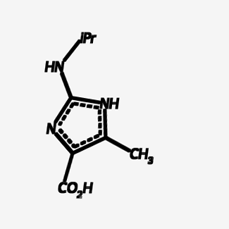 Cc1[nH]c(NC(C)C)nc1C(=O)O